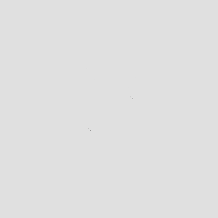 COc1ccc(C(N)=S)cc1OCCN1CCOCC1